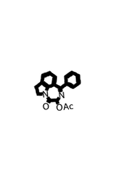 CC(=O)OC1N=C(c2ccccc2)c2cccc3c2N(CC3)C1=O